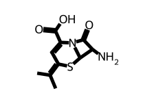 CC(C)=C1C=C(C(=O)O)N2C(=O)C(N)C2S1